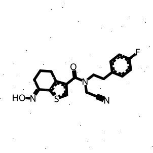 N#CCN(CCc1ccc(F)cc1)C(=O)c1csc2c1CCCC2=NO